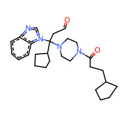 O=CCC(C1CCCC1)(N1CCN(C(=O)CCC2CCCC2)CC1)n1cnc2ccccc21